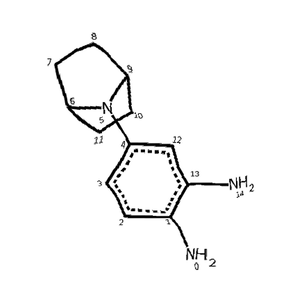 Nc1ccc(N2C3CCC2CC3)cc1N